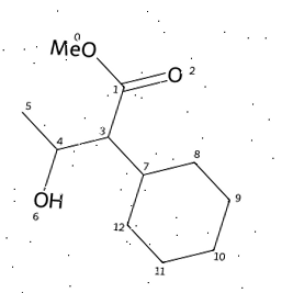 COC(=O)C(C(C)O)C1CCCCC1